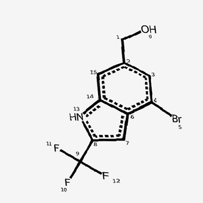 OCc1cc(Br)c2cc(C(F)(F)F)[nH]c2c1